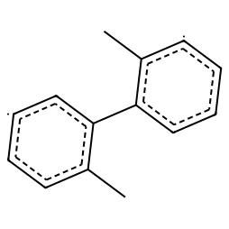 Cc1[c]cccc1-c1c[c]ccc1C